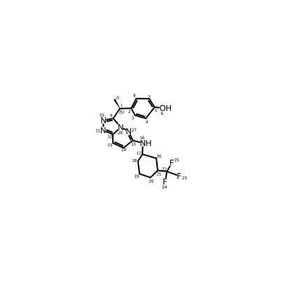 C[C@@H](c1ccc(O)cc1)c1nnc2ccc(NC3CCCC(C(F)(F)F)C3)nn12